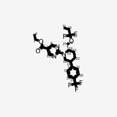 CCOC(=O)c1cnc(N2CC(c3ccc(C(F)(F)F)cc3)CC[C@H]2COC(F)(F)CC)nc1